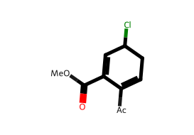 COC(=O)C1=CC(Cl)CC=C1C(C)=O